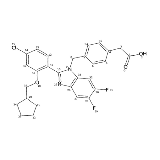 O=C(O)Cc1ccc(Cn2c(-c3ccc(Cl)cc3OCC3CCCC3)nc3cc(F)c(F)cc32)cc1